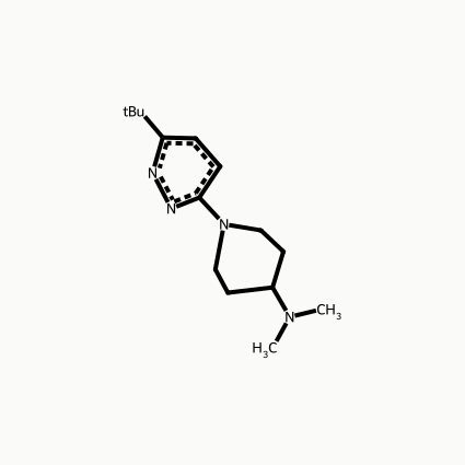 CN(C)C1CCN(c2ccc(C(C)(C)C)nn2)CC1